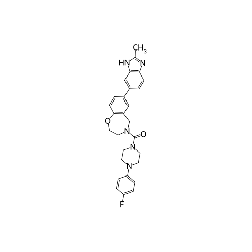 Cc1nc2ccc(-c3ccc4c(c3)CN(C(=O)N3CCN(c5ccc(F)cc5)CC3)CCO4)cc2[nH]1